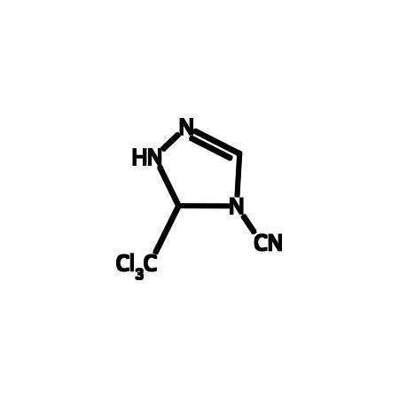 N#CN1C=NNC1C(Cl)(Cl)Cl